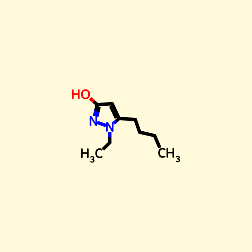 CCCCc1cc(O)nn1CC